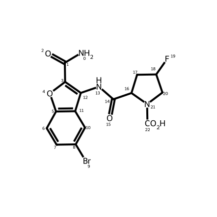 NC(=O)c1oc2ccc(Br)cc2c1NC(=O)C1CC(F)CN1C(=O)O